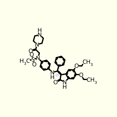 CCOc1cc2c(cc1OCC)/C(=C(/Nc1ccc(N(CC(=O)N3CCNCC3)S(C)(=O)=O)cc1)c1ccccc1)C(=O)N2